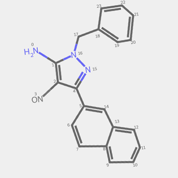 Nc1c(N=O)c(-c2ccc3ccccc3c2)nn1Cc1ccccc1